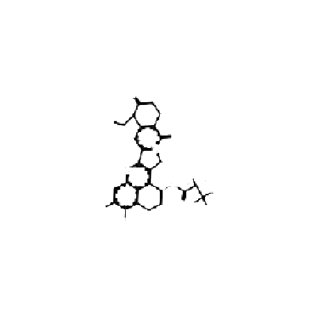 CC[C@@]1(O)C(=O)CCc2c1cc1n(c2=O)Cc2c-1nc1cc(F)c(C)c3c1c2[C@@H](NC(=O)[C@@](C)(O)C(F)(F)F)CC3